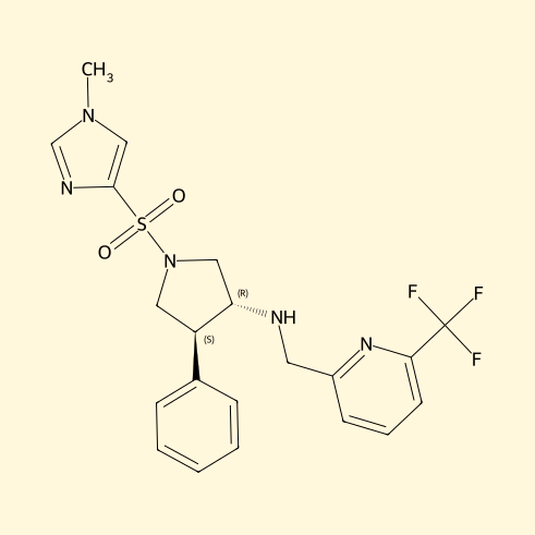 Cn1cnc(S(=O)(=O)N2C[C@H](NCc3cccc(C(F)(F)F)n3)[C@@H](c3ccccc3)C2)c1